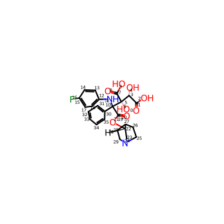 O=C(O)[C@@H](O)[C@](O)(C(=O)O)C(Nc1ccc(F)cc1)(C(=O)O[C@H]1CN2CCC1CC2)c1ccccc1